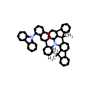 CC1(C)c2ccccc2-c2ccc3c(c21)N(c1ccccc1-c1ccc2cccc(-n4c5ccccc5c5ccccc54)c2c1)c1cccc2c1C3(C)c1ccccc1-2